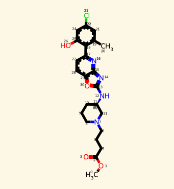 COC(=O)CCCN1CCC[C@@H](Nc2nc3nc(-c4c(C)cc(Cl)cc4O)ccc3o2)C1